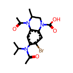 CC(=O)N(c1cc2c(cc1Br)N(C(=O)O)CC(C)N2C(C)=O)C(C)C